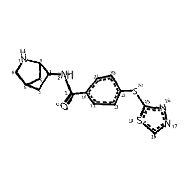 O=C(NC1CC2CNC1C2)c1ccc(Sc2nncs2)cc1